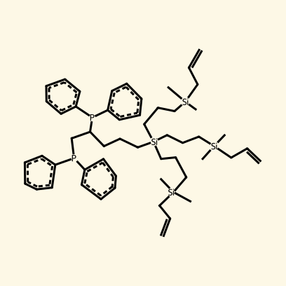 C=CC[Si](C)(C)CCC[Si](CCCC(CP(c1ccccc1)c1ccccc1)P(c1ccccc1)c1ccccc1)(CCC[Si](C)(C)CC=C)CCC[Si](C)(C)CC=C